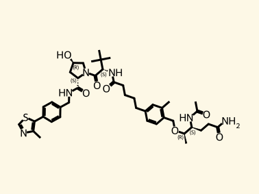 CC(=O)N[C@@H](CCC(N)=O)[C@@H](C)OCc1ccc(CCCCC(=O)N[C@H](C(=O)N2C[C@H](O)C[C@H]2C(=O)NCc2ccc(-c3scnc3C)cc2)C(C)(C)C)cc1C